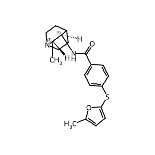 Cc1ccc(Sc2ccc(C(=O)N[C@@H]3C4CCN(CC4)[C@H]3C)cc2)o1